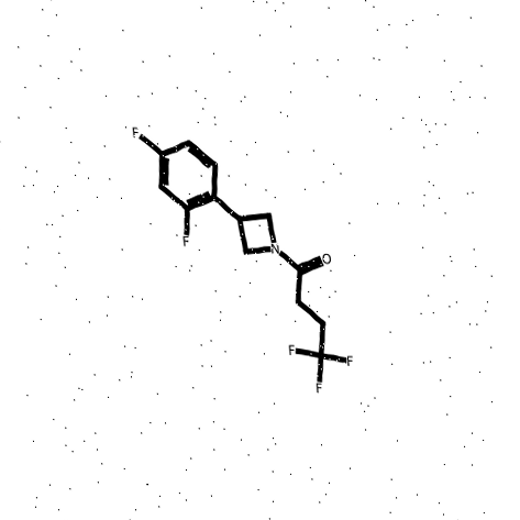 O=C(CCC(F)(F)F)N1CC(c2ccc(F)cc2F)C1